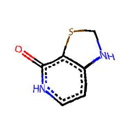 O=c1[nH]ccc2c1SCN2